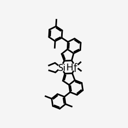 CC[Si]1(CC)C2=Cc3c(-c4cc(C)ccc4C)cccc3[CH]2[Hf]([CH3])([CH3])[CH]2C1=Cc1c(-c3cc(C)ccc3C)cccc12